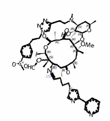 CO[C@]1(C)C[C@@H](C)C(=O)[C@H](C)[C@@H](/N=C\CCCn2cnc(-c3cccnc3)c2)[C@](C)(OC=O)[C@@H](I)OC(=O)[C@H](C)C(=O)[C@H](C)[C@H]1O[C@@H]1O[C@H](C)C[C@H](N(C)CCc2cn(CCc3ccc([S+](C)[O-])cc3)nn2)[C@H]1O